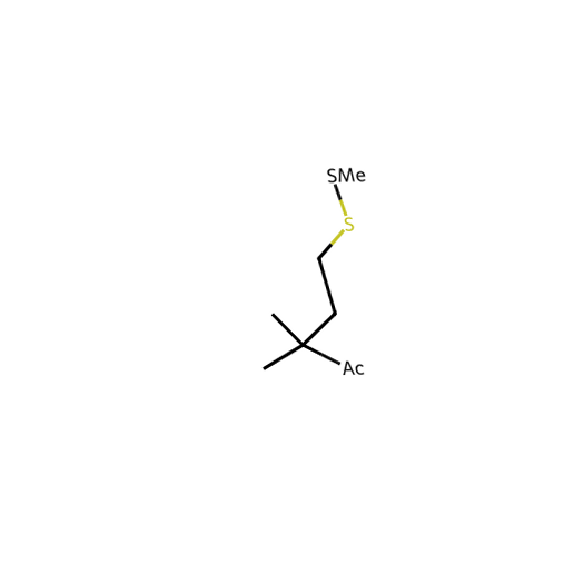 CSSCCC(C)(C)C(C)=O